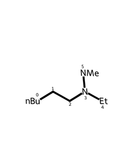 CCCCCCN(CC)NC